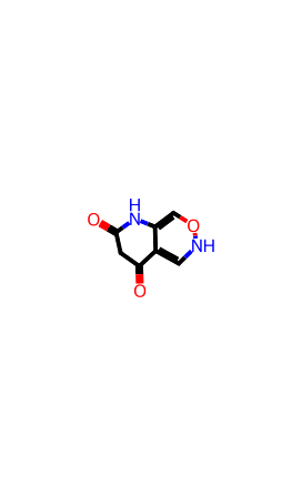 O=C1CC(=O)C2=CNOC=C2N1